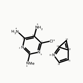 CNc1nc(N)c(N)c(Cl)n1.c1cc2cc-2n1